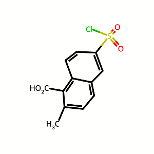 Cc1ccc2cc(S(=O)(=O)Cl)ccc2c1C(=O)O